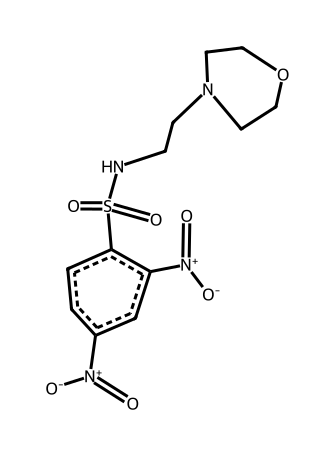 O=[N+]([O-])c1ccc(S(=O)(=O)NCCN2CCOCC2)c([N+](=O)[O-])c1